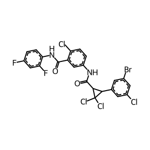 O=C(Nc1ccc(F)cc1F)c1cc(NC(=O)C2C(c3cc(Cl)cc(Br)c3)C2(Cl)Cl)ccc1Cl